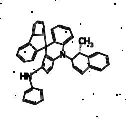 C[C@@H]1c2ccccc2C=CC1N1c2ccccc2C2(c3ccccc3-c3ccccc32)c2cc(Nc3ccccc3)ccc21